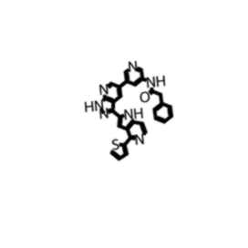 O=C(Cc1ccccc1)Nc1cncc(-c2cnc3[nH]nc(-c4cc5c(-c6cccs6)nccc5[nH]4)c3c2)c1